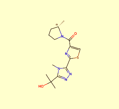 C[C@H]1CCCN1C(=O)c1csc(-c2nnc(C(C)(C)O)n2C)n1